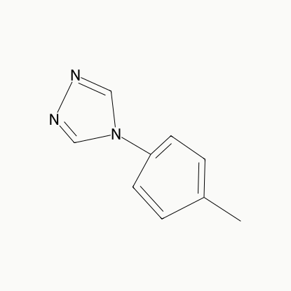 Cc1ccc(-n2cnnc2)cc1